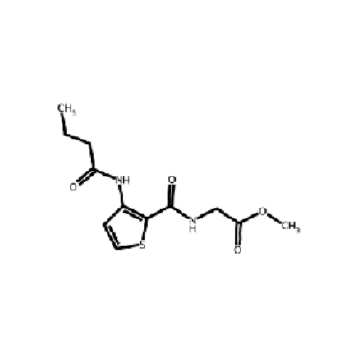 CCCC(=O)Nc1ccsc1C(=O)NCC(=O)OC